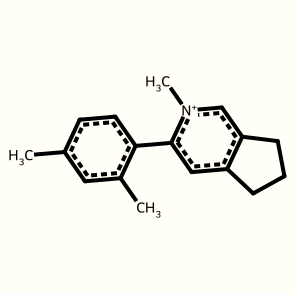 Cc1ccc(-c2cc3c(c[n+]2C)CCC3)c(C)c1